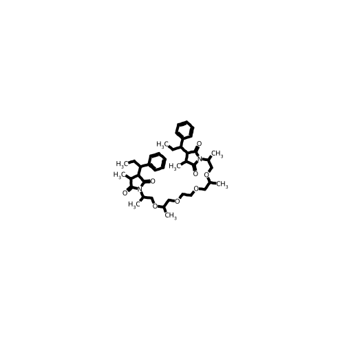 CCC(c1ccccc1)C1C(=O)N(C(C)COC(C)COCCOCC(C)OCC(C)N2C(=O)C(C)C(C(CC)c3ccccc3)C2=O)C(=O)C1C